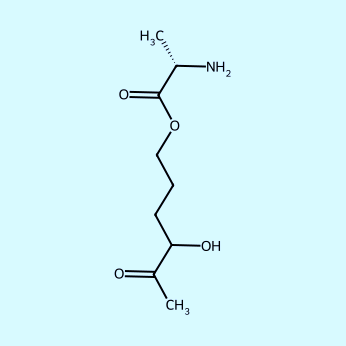 CC(=O)C(O)CCCOC(=O)[C@H](C)N